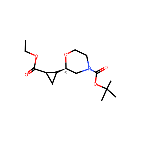 CCOC(=O)C1CC1[C@@H]1CN(C(=O)OC(C)(C)C)CCO1